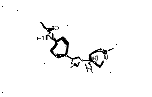 CC(=O)Nc1ccc(C2=CN([C@H]3CN4CCC3CC4C)CS2)cc1